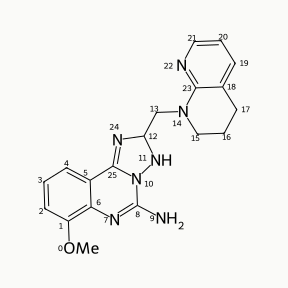 COc1cccc2c1N=C(N)N1NC(CN3CCCc4cccnc43)N=C21